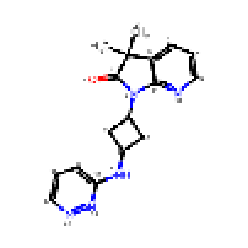 CC1(C)C(=O)N(C2CC(Nc3cccnn3)C2)c2ncccc21